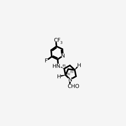 O=CN1C[C@H]2C[C@@H](Nc3ncc(C(F)(F)F)cc3F)[C@@H]1C2